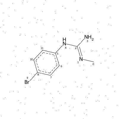 CN=C(N)Nc1ccc(Br)cc1